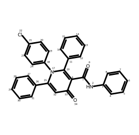 O=C(Nc1ccccc1)c1c(-c2ccccc2)n(-c2ccc(Cl)cc2)c(-c2ccccc2)cc1=O